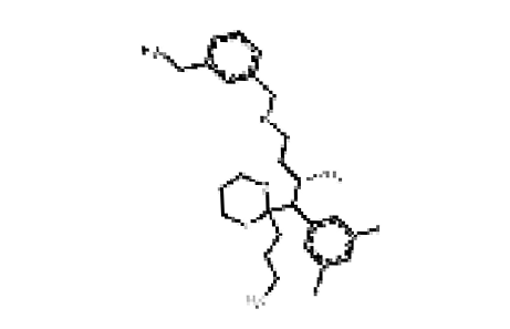 CCCCC1(C(c2cc(F)cc(F)c2)[C@@H](N)[CH]CNCc2cccc(CC)c2)OCCCO1